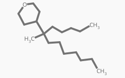 CCCCCCCC(C)(CCCCC)C1CCOCC1